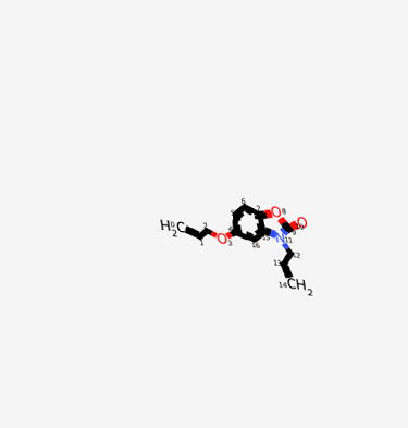 C=CCOc1ccc2oc(=O)n(CC=C)c2c1